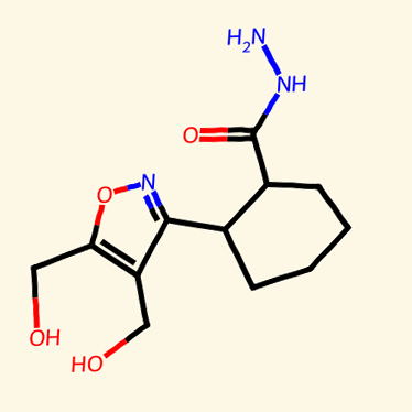 NNC(=O)C1CCCCC1c1noc(CO)c1CO